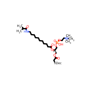 C=C(C)C(=O)NCCCCCCCCCCC(=O)O[C@H](COC(=O)CCCCCCCCCCC)COP(=O)(O)OCC[N+](C)(C)C